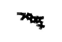 O=C(NO)c1ccc2c(c1)CCC1(CC(=O)N(CC(F)(F)F)C1)C2